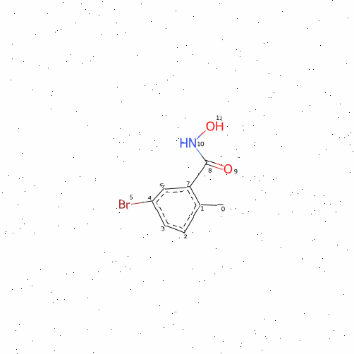 Cc1ccc(Br)cc1C(=O)NO